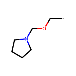 [CH2]COCN1CCCC1